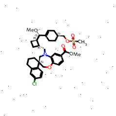 COC(=O)c1ccc2c(c1)N(C[C@@H]1CC[C@H]1[C@H](OC)C1=CC[C@@H](COS(C)(=O)=O)CC1)C[C@@]1(CCCc3cc(Cl)ccc31)CO2